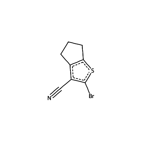 N#Cc1c(Br)sc2c1CCC2